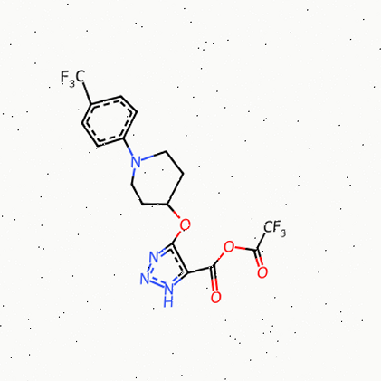 O=C(OC(=O)C(F)(F)F)c1[nH]nnc1OC1CCN(c2ccc(C(F)(F)F)cc2)CC1